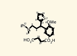 COc1ccccc1C(CCN(C)C(C)C)c1cccs1.O=C(O)/C=C/C(=O)O